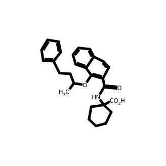 CC(CCc1ccccc1)Oc1c(C(=O)NC2(C(=O)O)CCCCC2)ccc2ccccc12